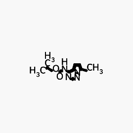 CCc1ccc2c(NC(=O)OCC(C)C)ncnn12